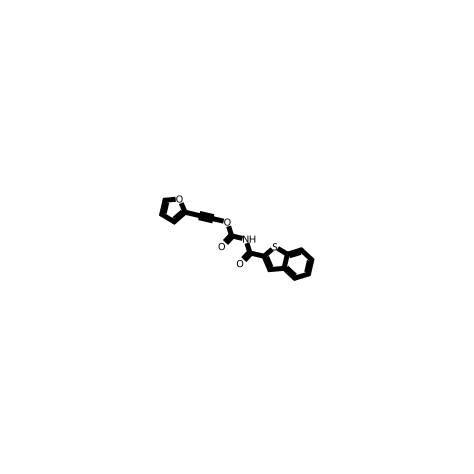 O=C(NC(=O)c1cc2ccccc2s1)OC#Cc1ccco1